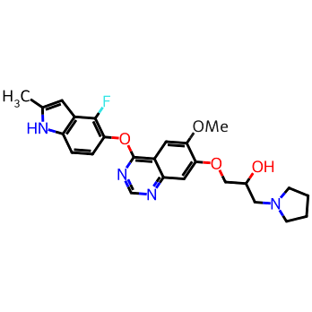 COc1cc2c(Oc3ccc4[nH]c(C)cc4c3F)ncnc2cc1OCC(O)CN1CCCC1